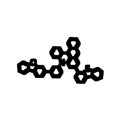 c1cc(-c2ccc3c(c2)oc2ccccc23)cc(N(c2cccc(-c3cccc4c3sc3ccccc34)c2)c2ccccc2-c2cccc3ccccc23)c1